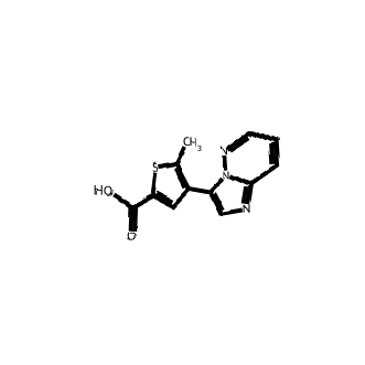 Cc1sc(C(=O)O)cc1-c1cnc2cccnn12